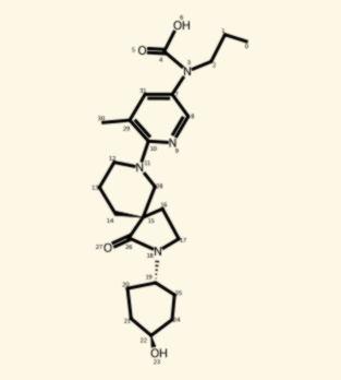 CCCN(C(=O)O)c1cnc(N2CCC[C@]3(CCN([C@H]4CC[C@H](O)CC4)C3=O)C2)c(C)c1